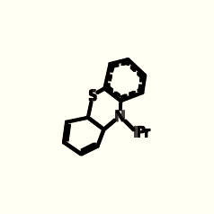 CC(C)N1c2ccccc2SC2C=CC=CC21